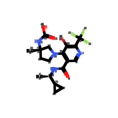 C[C@H](NC(=O)c1cnc(C(F)(F)F)c(Br)c1N1CC[C@](C)(NC(=O)O)C1)C1CC1